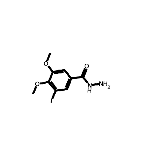 COc1cc(C(=O)NN)cc(I)c1OC